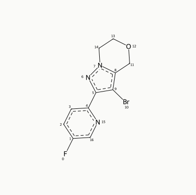 Fc1ccc(-c2nn3c(c2Br)COCC3)nc1